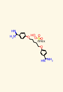 CCCCCCS(=O)(=O)OO.N=C(N)c1ccc(OCCCCCOc2ccc(C(=N)N)cc2)cc1